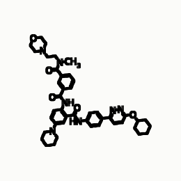 CN(CCN1CCOCC1)C(=O)c1cccc(C(=O)Nc2ccc(N3CCCCC3)cc2C(=O)Nc2ccc(-c3ccc(OC4CCCCC4)nn3)cc2)c1